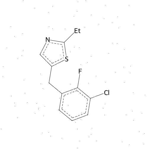 CCc1ncc(Cc2cccc(Cl)c2F)s1